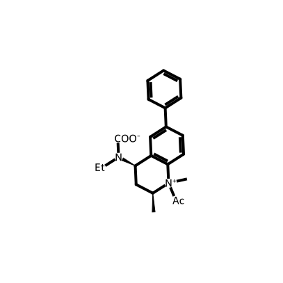 CCN(C(=O)[O-])[C@@H]1C[C@H](C)[N+](C)(C(C)=O)c2ccc(-c3ccccc3)cc21